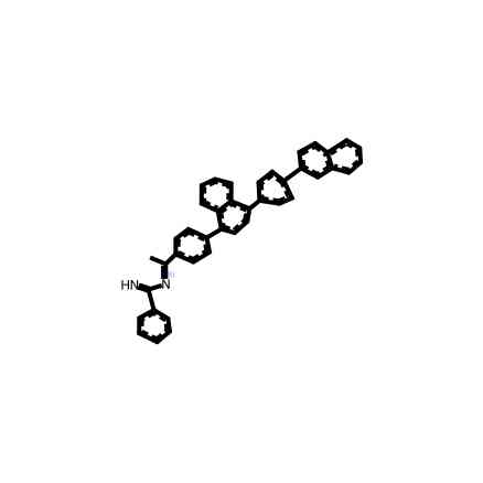 C/C(=N\C(=N)c1ccccc1)c1ccc(-c2ccc(-c3ccc(-c4ccc5ccccc5c4)cc3)c3ccccc23)cc1